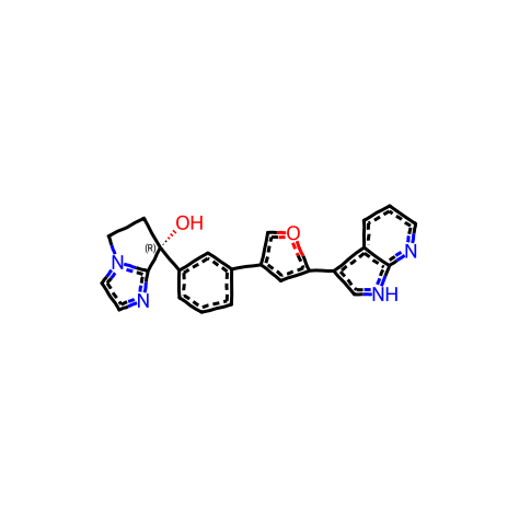 O[C@@]1(c2cccc(-c3coc(-c4c[nH]c5ncccc45)c3)c2)CCn2ccnc21